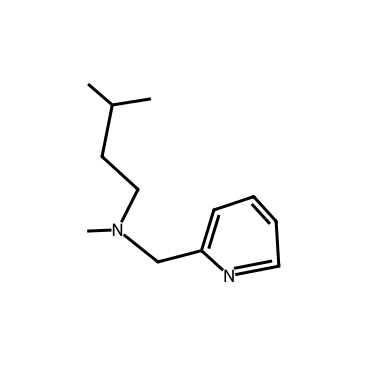 CC(C)CCN(C)Cc1ccccn1